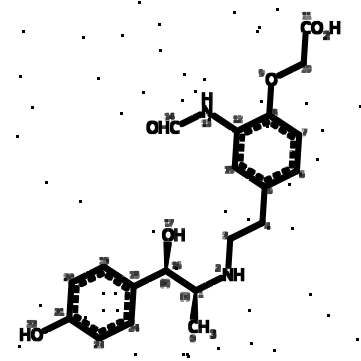 C[C@H](NCCc1ccc(OCC(=O)O)c(NC=O)c1)[C@H](O)c1ccc(O)cc1